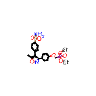 CCOP(=O)(COc1ccc(-c2noc(C)c2-c2ccc(S(N)(=O)=O)cc2)cc1)OCC